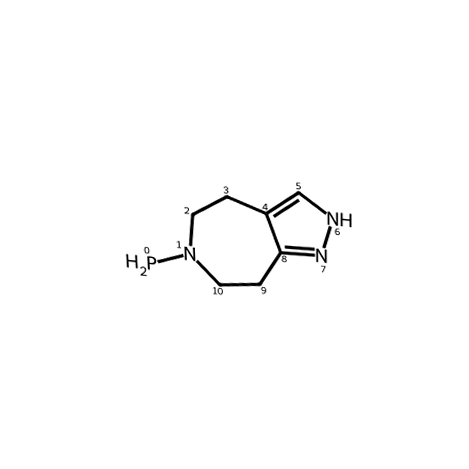 PN1CCc2c[nH]nc2CC1